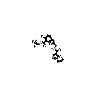 O=C(OCC(F)(F)F)c1c(F)ccc2cc(CNC(=O)c3cnn4cccnc34)oc12